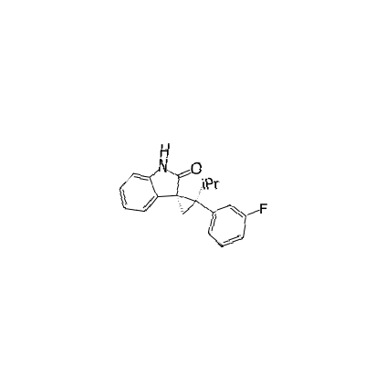 CC(C)[C@]1(c2cccc(F)c2)C[C@]12C(=O)Nc1ccccc12